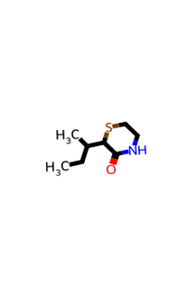 CCC(C)C1SCCNC1=O